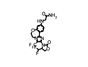 NC(=O)CNc1ccc2c(c1)OCCn1c-2nc(N2C(=O)OCC2C(F)F)c1C(F)(F)F